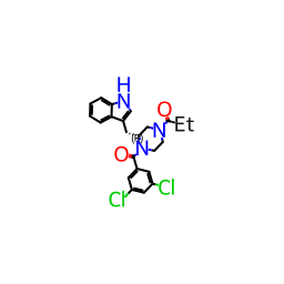 CCC(=O)N1CCN(C(=O)c2cc(Cl)cc(Cl)c2)[C@H](Cc2c[nH]c3ccccc23)C1